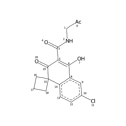 CC(=O)CNC(=O)C1=C(O)c2cc(Cl)ccc2C2(CCC2)C1=O